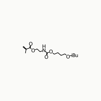 C=C(C)C(=O)OCCNC(=O)OCCCCOC(C)CC